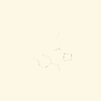 CCOC(=O)C1CCN1C(C)c1ccc(Cl)cc1